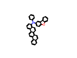 c1ccc(N(c2ccc3oc4ccccc4c3c2)c2cccc3c2ccc2c3ccc3c4ccccc4ccc32)cc1